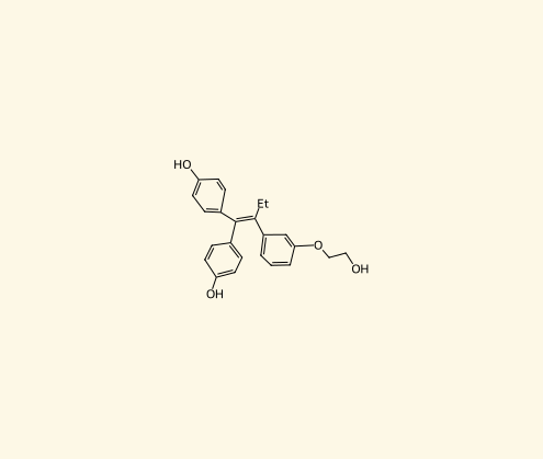 CCC(=C(c1ccc(O)cc1)c1ccc(O)cc1)c1cccc(OCCO)c1